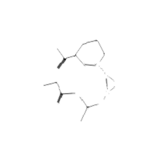 CCC(=O)OC(C)On1on1N1CCCC(C(=O)O)C1